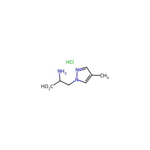 Cc1cnn(CC(N)C(=O)O)c1.Cl